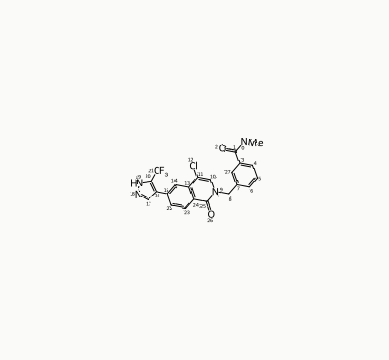 CNC(=O)c1cccc(Cn2cc(Cl)c3cc(-c4cn[nH]c4C(F)(F)F)ccc3c2=O)c1